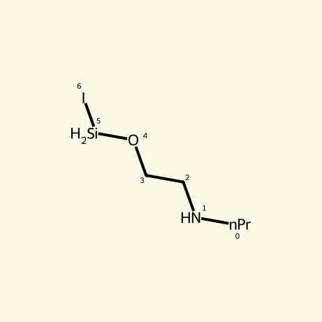 CCCNCCO[SiH2]I